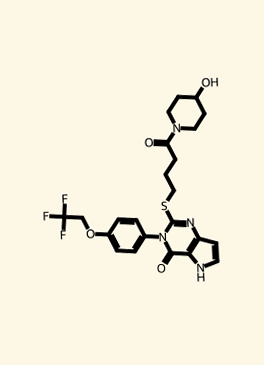 O=C(CCCSc1nc2cc[nH]c2c(=O)n1-c1ccc(OCC(F)(F)F)cc1)N1CCC(O)CC1